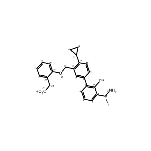 C[C@@H](N)c1cccc(-c2ccc(C3CC3)c(COc3ccccc3CC(=O)O)c2)c1F